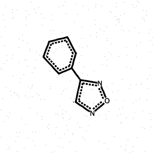 [c]1nonc1-c1ccccc1